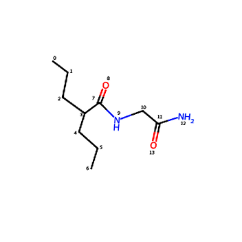 CCCC(CCC)C(=O)NCC(N)=O